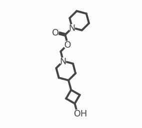 O=C(OCN1CCC(C2CC(O)C2)CC1)N1CCCCC1